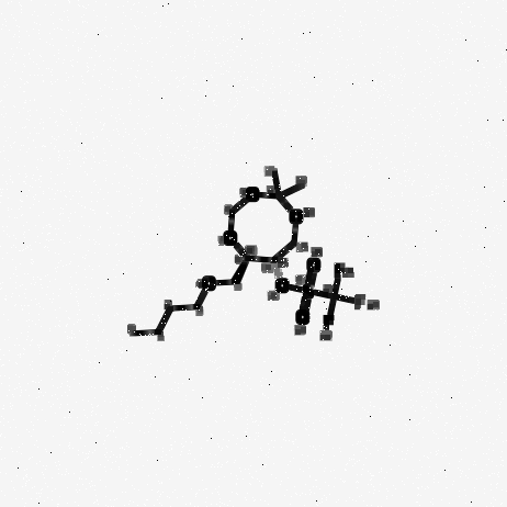 CCCCOC[C@H]1OCOC(C)(C)OC[C@@H]1OS(=O)(=O)C(F)(F)F